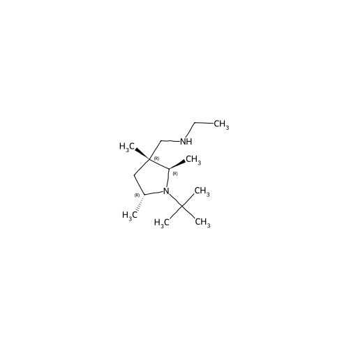 CCNC[C@@]1(C)C[C@@H](C)N(C(C)(C)C)[C@@H]1C